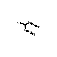 CCCC(N=[N+]=[N-])N=[N+]=[N-]